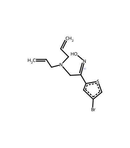 C=CCN(CC=C)C/C(=N\O)c1cc(Br)cs1